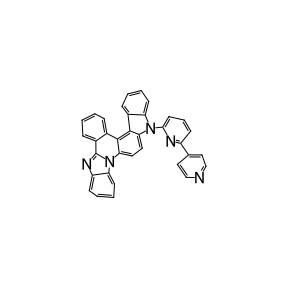 c1cc(-c2ccncc2)nc(-n2c3ccccc3c3c4c5ccccc5c5nc6ccccc6n5c4ccc32)c1